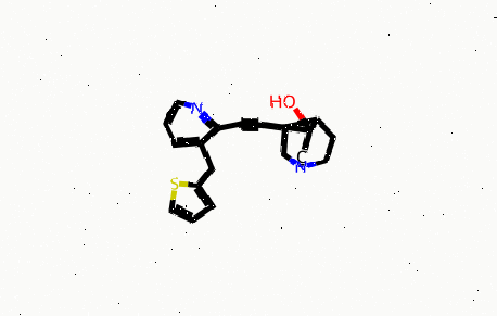 OC1(C#Cc2ncccc2Cc2cccs2)CN2CCC1CC2